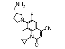 Cc1c(N2CC[C@H](CN)C2)c(F)cc2c(C#N)cc(=O)n(C3CC3)c12